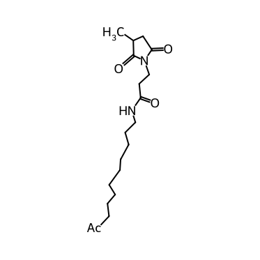 CC(=O)CCCCCCCCCNC(=O)CCN1C(=O)CC(C)C1=O